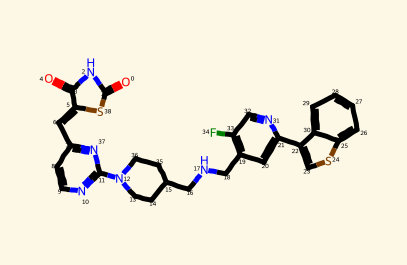 O=C1NC(=O)C(=Cc2ccnc(N3CCC(CNCc4cc(-c5csc6ccccc56)ncc4F)CC3)n2)S1